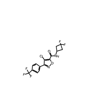 O=C(NC1CC(F)(F)C1)c1onc(-c2ccc(C(F)(F)F)cc2)c1Cl